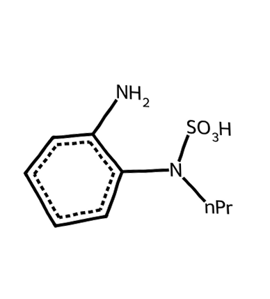 CCCN(c1ccccc1N)S(=O)(=O)O